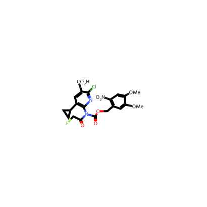 COc1cc(COC(=O)N(C(=O)CF)c2nc(Cl)c(C(=O)O)cc2C2CC2)c([N+](=O)[O-])cc1OC